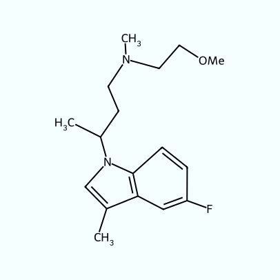 COCCN(C)CCC(C)n1cc(C)c2cc(F)ccc21